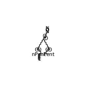 C=C=C=C=CC(CCCCC)CCOC(=O)CCCCCCCC(CCCCCCCC(=O)OCCC(C)CCCCC)CC(=O)OCCCN1CCN(C)CC1